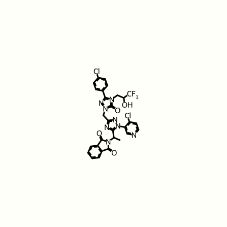 CC(c1nc(Cn2nc(-c3ccc(Cl)cc3)n(CC(O)C(F)(F)F)c2=O)nn1-c1cnccc1Cl)N1C(=O)c2ccccc2C1=O